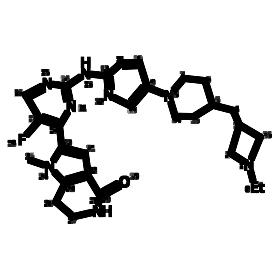 CCN1CC(CC2CCN(c3ccc(Nc4ncc(F)c(-c5cc6c(n5C)CCNC6=O)n4)nc3)CC2)C1